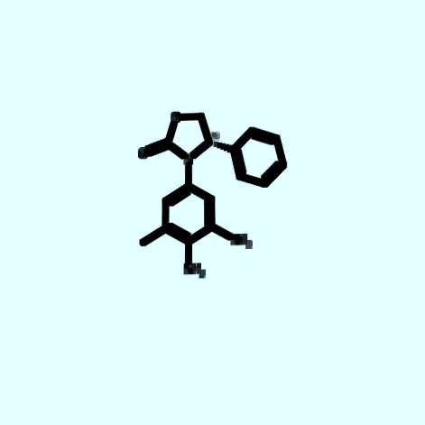 Cc1cc(N2C(=O)OC[C@@H]2c2ccccc2)cc(N)c1N